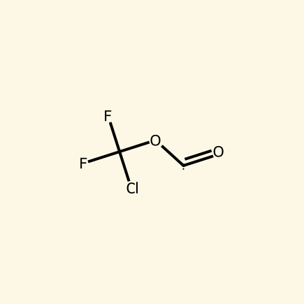 O=[C]OC(F)(F)Cl